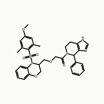 COc1cc(C)c(S(=O)(=O)N2c3ccccc3OCC2COCC(=O)N2CCc3[nH]cnc3C2c2ccccc2)c(C)c1